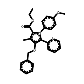 CCOC(=O)c1c(C)c(OCc2ccccc2)c(-c2ccccn2)n1-c1ccc(OC)cc1